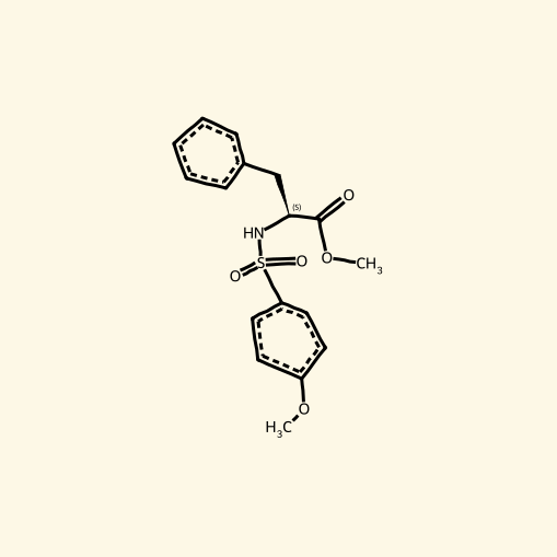 COC(=O)[C@H](Cc1ccccc1)NS(=O)(=O)c1ccc(OC)cc1